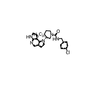 C[C@@H]1CCN(C(=O)NCc2ccc(Cl)cc2)C[C@@H]1n1ccc2cnc3[nH]ccc3c21